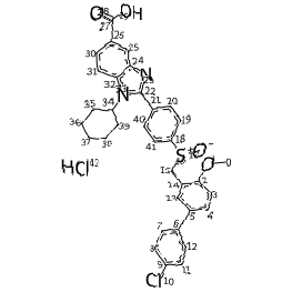 COc1ccc(-c2ccc(Cl)cc2)cc1C[S+]([O-])c1ccc(-c2nc3cc(C(=O)O)ccc3n2C2CCCCC2)cc1.Cl